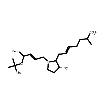 CCCCCC(C=CCN1CC[C@@H](Cl)C1CC=CCCC(C)C(=O)O)OC(C)(C)C(C)(C)C